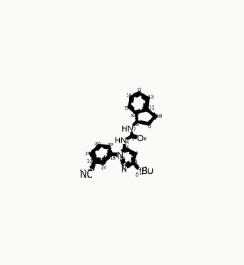 CC(C)(C)c1cc(NC(=O)NC2CCc3ccccc32)n(-c2cccc(C#N)c2)n1